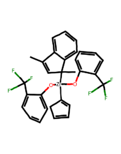 CC1=C[C](C)([Zr]([O]c2ccccc2C(F)(F)F)([O]c2ccccc2C(F)(F)F)[C]2=CC=CC2)c2ccccc21